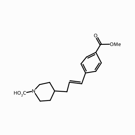 COC(=O)c1ccc(C=CCC2CCN(C(=O)O)CC2)cc1